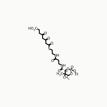 CCOP1(=O)OCC(C)(C)[C@H](C(=O)NCCC(=O)NCCSC(=O)CC(=O)CC(=O)CCC(=O)O)O1